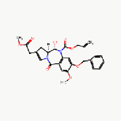 C=CCOC(=O)N1c2cc(OCc3ccccc3)c(OC)cc2C(=O)N2C=C(CC(=O)OC)C[C@H]2[C@@H]1O